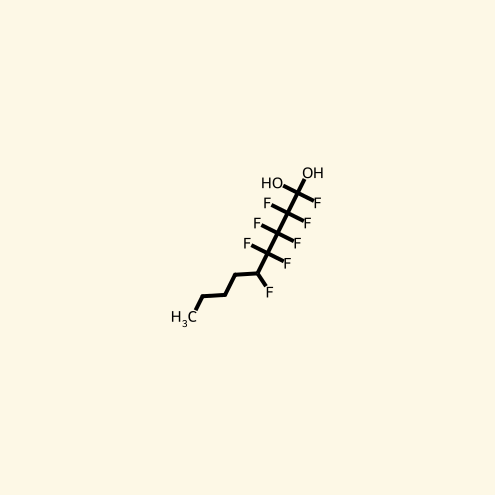 CCCCC(F)C(F)(F)C(F)(F)C(F)(F)C(O)(O)F